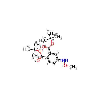 CONc1ccc(C(=O)OC(C)(C)C)c(C(=O)OC(C)(C)C)c1